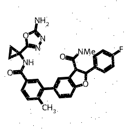 CNC(=O)C1c2cc(-c3cc(C(=O)NC4(c5nnc(N)o5)CC4)ccc3C)ccc2OC1c1ccc(F)cc1